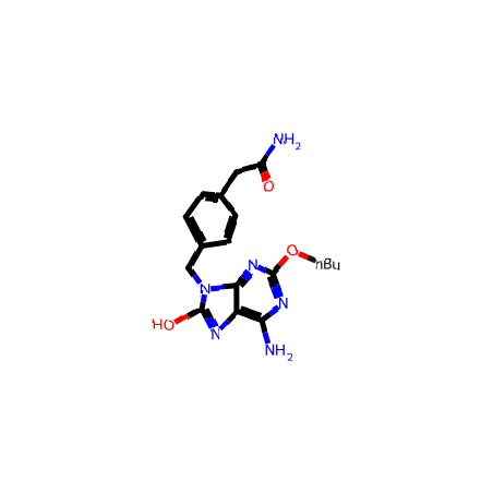 CCCCOc1nc(N)c2nc(O)n(Cc3ccc(CC(N)=O)cc3)c2n1